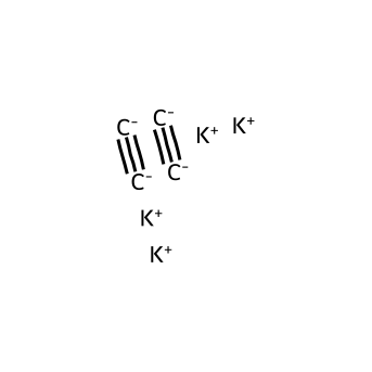 [C-]#[C-].[C-]#[C-].[K+].[K+].[K+].[K+]